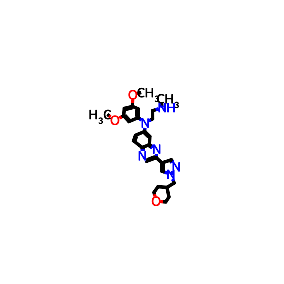 CNCCN(c1cc(OC)cc(OC)c1)c1ccc2ncc(-c3cnn(CC4CCOCC4)c3)nc2c1